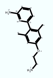 Cc1cc(OCCN)cc(C)c1-c1cccc(N)n1